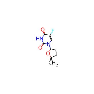 C=C1CC[C@H](n2cc(F)c(=O)[nH]c2=O)O1